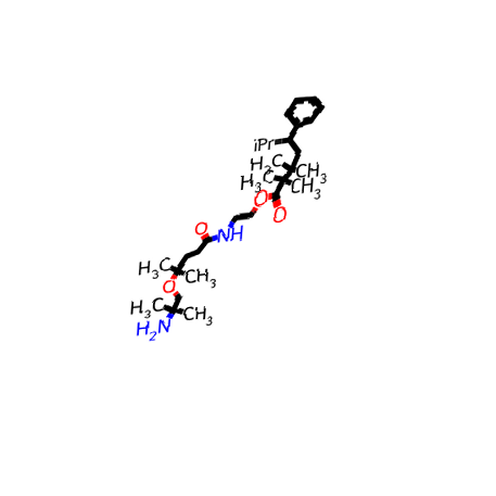 CC(C)C(CC(C)(C)C(C)(C)C(=O)OCCNC(=O)CCC(C)(C)OCC(C)(C)N)c1ccccc1